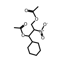 CC(=O)OCC(C(OC(C)=O)C1CCCCC1)[N+](=O)[O-]